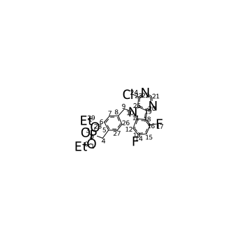 CCOP(=O)(Cc1ccc(Cn2c3cc(F)cc(F)c3c3ncnc(Cl)c32)cc1)OCC